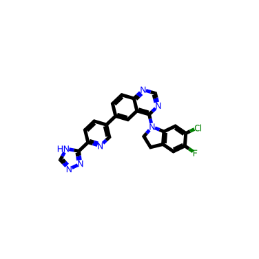 Fc1cc2c(cc1Cl)N(c1ncnc3ccc(-c4ccc(-c5nnc[nH]5)nc4)cc13)CC2